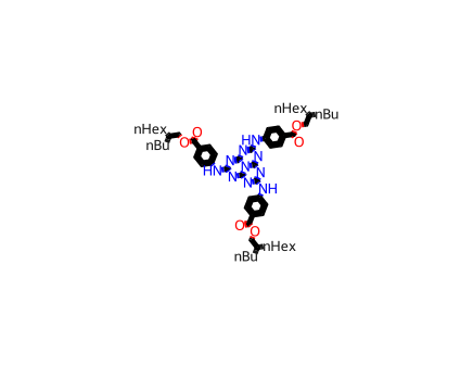 CCCCCCC(CCCC)COC(=O)c1ccc(NC2=NC3=NC(Nc4ccc(C(=O)OCC(CCCC)CCCCCC)cc4)=NC4=NC(Nc5ccc(C(=O)OCC(CCCC)CCCCCC)cc5)=NC(=N2)N34)cc1